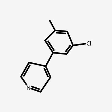 Cc1cc(Cl)cc(-c2ccncc2)c1